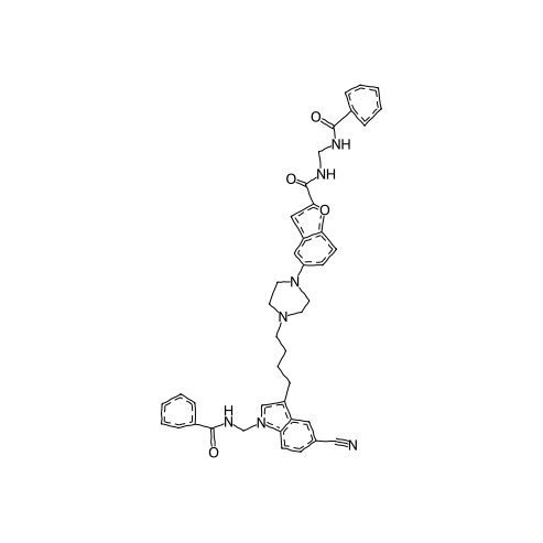 N#Cc1ccc2c(c1)c(CCCCN1CCN(c3ccc4oc(C(=O)NCNC(=O)c5ccccc5)cc4c3)CC1)cn2CNC(=O)c1ccccc1